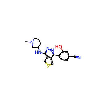 CN1CCC[C@@H](Nc2nnc(-c3ccc(C#N)cc3O)c3cscc23)C1